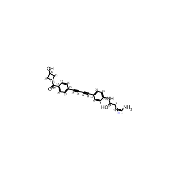 N/C=N\CC(O)Nc1ccc(C#CC#Cc2ccc(C(=O)N3CC(O)C3)cc2)cc1